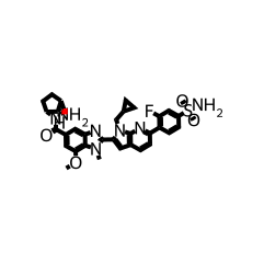 COc1cc(C(=O)N2CC3CCC2[C@@H]3N)cc2nc(-c3cc4ccc(-c5ccc(S(N)(=O)=O)cc5F)nc4n3CC3CC3)n(C)c12